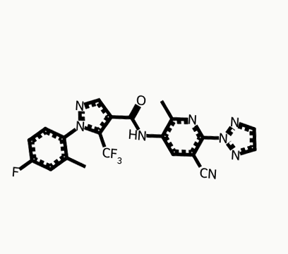 Cc1cc(F)ccc1-n1ncc(C(=O)Nc2cc(C#N)c(-n3nccn3)nc2C)c1C(F)(F)F